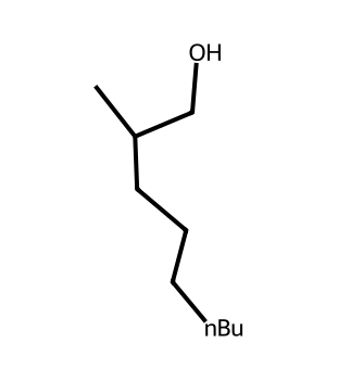 CCCCCCCC(C)CO